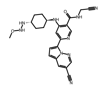 CONN[C@H]1CC[C@H](Nc2cc(-c3ccc4cc(C#N)cnn34)ncc2C(=O)NCC#N)CC1